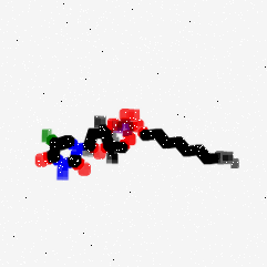 CCCCCCCCO[PH]1(O)OC[C@H]2O[C@@H](n3cc(F)c(=O)[nH]c3=O)C[C@@H]2O1